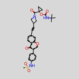 CC(C)(C)NC(=O)OC1(C(=O)N2CC(C#Cc3ccc4c(=O)c(-c5ccc(NS(C)(=O)=O)cc5)coc4c3)C2)CC1